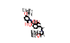 C=C1CC[C@H](O[Si](CC)(CC)CC)C/C1=C/C(O)C1(O)CCC[C@]2(C)[C@@H]([C@H](C)/C=C/[C@H](C)C(C)(C)O[Si](CC)(CC)CC)CC[C@@H]12